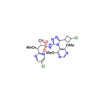 COc1ncnc(OC)c1-n1c(NS(=O)(=O)[C@@H](C)[C@H](OC)c2ncc(Cl)cn2)nnc1C1CC(Cl)C1